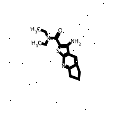 CCN(CC)C(=O)c1sc2nc3c(cc2c1N)CCC3